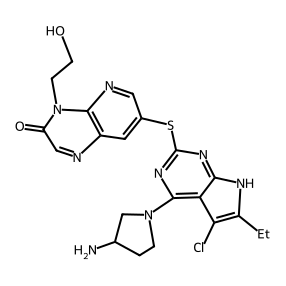 CCc1[nH]c2nc(Sc3cnc4c(c3)ncc(=O)n4CCO)nc(N3CCC(N)C3)c2c1Cl